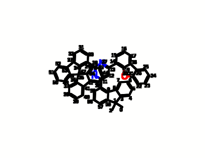 CC1(C)c2ccccc2-c2c(-c3cc(-c4cccc5c4oc4ccccc45)nc(-c4cccc5c4C4(c6ccccc6-c6ccccc64)c4ccccc4-5)n3)cccc21